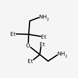 CCC(CC)(CN)OC(CC)(CC)CN